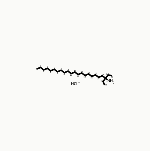 CCCCCCCCCCCCCCCCCCCCC(N)(CC)CC.Cl